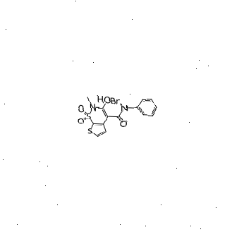 CN1C(O)=C(C(=O)N(Br)c2ccccc2)c2ccsc2S1(=O)=O